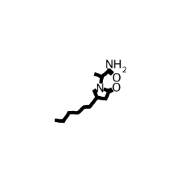 CCCCCCC1CC(=O)N(C(C)C(N)=O)C1